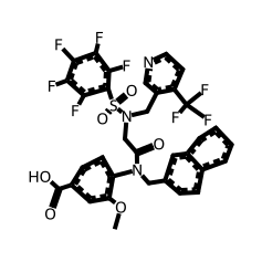 COc1cc(C(=O)O)ccc1N(Cc1ccc2ccccc2c1)C(=O)CN(Cc1cnccc1C(F)(F)F)S(=O)(=O)c1c(F)c(F)c(F)c(F)c1F